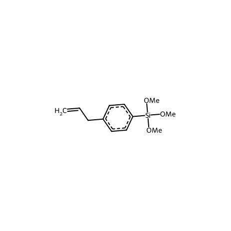 C=CCc1ccc([Si](OC)(OC)OC)cc1